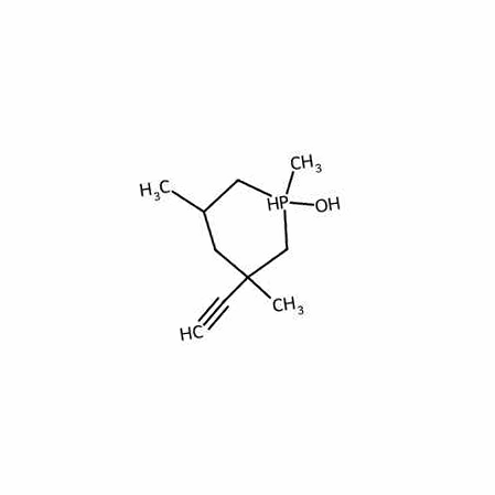 C#CC1(C)CC(C)C[PH](C)(O)C1